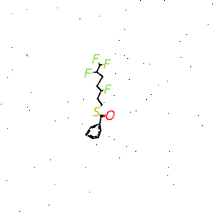 O=C(SCCC(F)CCC(F)C(F)F)c1ccccc1